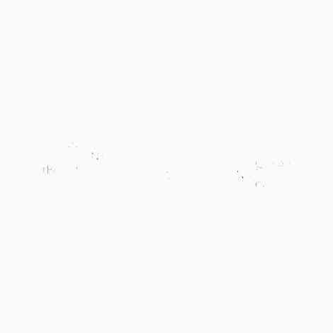 CC(C)(C)OC(=O)N1CCC2(CCC(SSC3CCC4(CC3)CCN(C(=O)OC(C)(C)C)CC4)CC2)CC1